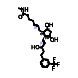 CNC(=O)CCC/C=C/C[C@@H]1[C@@H](/C=C/[C@@H](O)CCc2cccc(C(F)(F)F)c2)[C@H](O)C[C@@H]1O